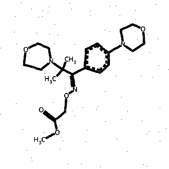 COC(=O)CON=C(c1ccc(N2CCOCC2)cc1)C(C)(C)N1CCOCC1